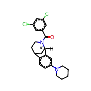 O=C(c1cc(Cl)cc(Cl)c1)N1CCC2C[C@H]1c1cc(N3CCCCC3)ccc12